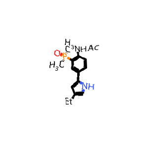 CCc1c[nH]c(-c2ccc(NC(C)=O)c(P(C)(C)=O)c2)c1